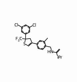 C=C(NCc1ccc(C2=CSC(c3cc(Cl)cc(Cl)c3)(C(F)(F)F)C2)cc1C)C(C)C